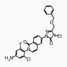 CCn1c(COCc2ccccc2)nn(-c2ccc3c(=O)n(-c4c(F)cc(N)cc4Cl)ccc3c2)c1=O